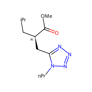 CCCn1nnnc1C[C@@H](CC(C)C)C(=O)OC